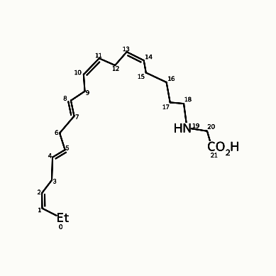 CC/C=C\CC=CCC=CC/C=C\C/C=C\CCCCNCC(=O)O